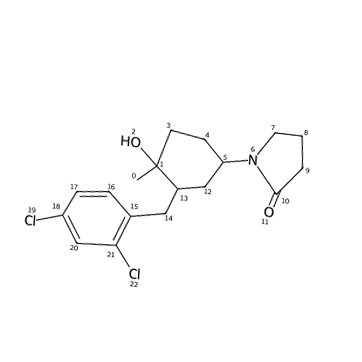 CC1(O)CCC(N2CCCC2=O)CC1Cc1ccc(Cl)cc1Cl